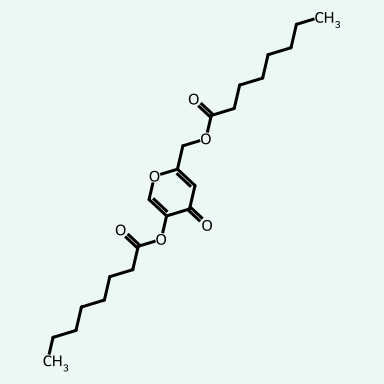 CCCCCCCC(=O)OCc1cc(=O)c(OC(=O)CCCCCCC)co1